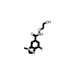 Cn1cnc2c(F)cc(C(=O)NOCCO)cc21